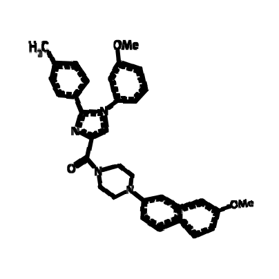 COc1cccc(-n2cc(C(=O)N3CCN(c4ccc5ccc(OC)cc5c4)CC3)nc2-c2ccc(C)cc2)c1